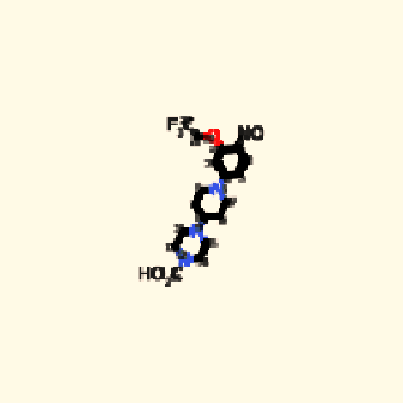 O=Nc1ccc(N2CCC(N3CCN(C(=O)O)CC3)CC2)cc1OCC(F)(F)F